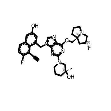 C#Cc1c(F)ccc2cc(O)cc(Cn3cnc4c(OC[C@@]56CCCN5C[C@H](F)C6)nc(N5CCC[C@](C)(O)C5)nc43)c12